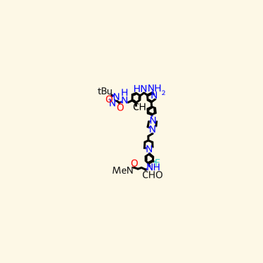 CNC(=O)CCC(C=O)Nc1ccc(N2CCC(CCN3CCN(c4ccc(-c5cnc(N)c(C(=N)c6ccc(CNC(=O)c7noc(C(C)(C)C)n7)c(C)c6)c5)cc4)CC3)CC2)cc1F